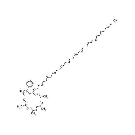 C=CCOCC(C)OCC(C)OCC(C)OCC(C)OCC(COc1ccccc1)OCCOCCOCCOCCOCCOCCOCCOCCOCCOCCOCCOCCO